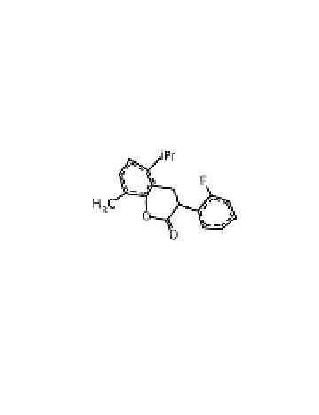 Cc1ccc(C(C)C)c2c1OC(=O)C(c1ccccc1F)C2